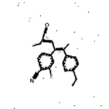 CC/C(C=O)=C\C(=C(/C)c1ccc(CC)cc1)c1ccc(C#N)c(F)c1